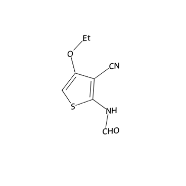 CCOc1csc(NC=O)c1C#N